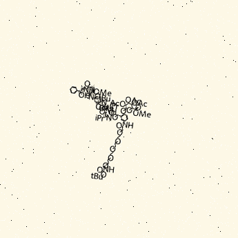 CC[C@H](C)[C@@H]([C@@H](CC(=O)N1CCC[C@H]1[C@H](OC)[C@@H](C)C(=O)N[C@H](C)[C@@H](O)c1ccccc1)OC)N(C)C(=O)[C@@H](NC(=O)[C@H](C(C)C)N(C)C(=O)OCc1cc(NC(=O)COCCOCCOCCOCCONC(=O)OC(C)(C)C)ccc1OC1OC(C(=O)OC)C(OC(C)=O)C(OC(C)=O)C1OC(C)=O)C(C)C